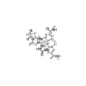 C=C(NC)c1ccc2c(c1)CCc1cc(C(=O)NC)ccc1C2(CCNCC(=C)N1C(C#N)C[C@@H]2C[C@@H]21)c1n[nH]c(=O)[nH]1